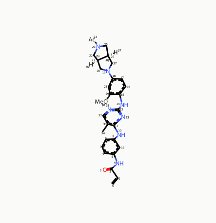 C=CC(=O)Nc1cccc(Nc2nc(Nc3ccc(N4C[C@H]5CN(C(C)=O)C[C@H]5C4)cc3OC)ncc2C)c1